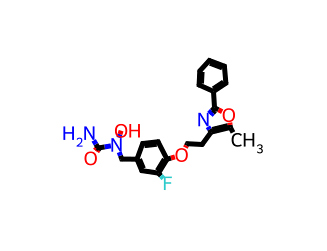 Cc1oc(-c2ccccc2)nc1CCOc1ccc(CN(O)C(N)=O)cc1F